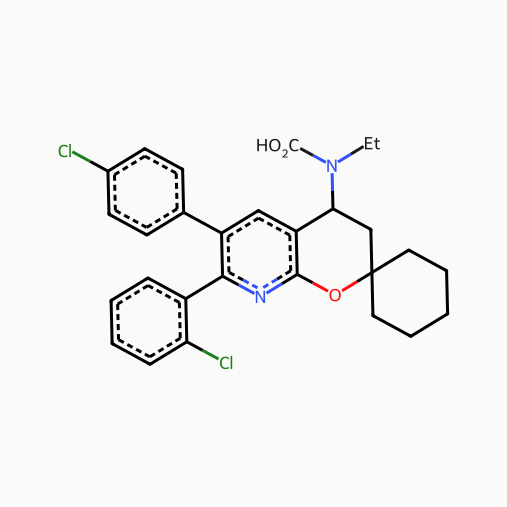 CCN(C(=O)O)C1CC2(CCCCC2)Oc2nc(-c3ccccc3Cl)c(-c3ccc(Cl)cc3)cc21